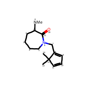 CNC1CCCCN(CC2=CC=CC2(C)C)C1=O